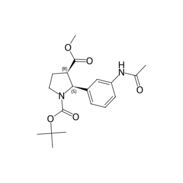 COC(=O)[C@@H]1CCN(C(=O)OC(C)(C)C)[C@@H]1c1cccc(NC(C)=O)c1